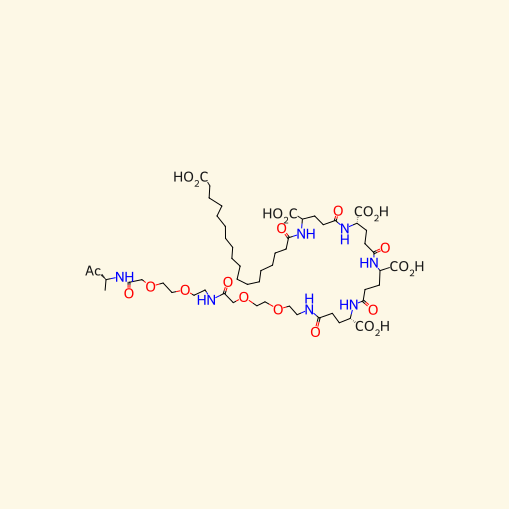 CC(=O)[C@H](C)NC(=O)COCCOCCNC(=O)COCCOCCNC(=O)CC[C@H](NC(=O)CCC(NC(=O)CC[C@H](NC(=O)CCC(NC(=O)CCCCCCCCCCCCCCCCC(=O)O)C(=O)O)C(=O)O)C(=O)O)C(=O)O